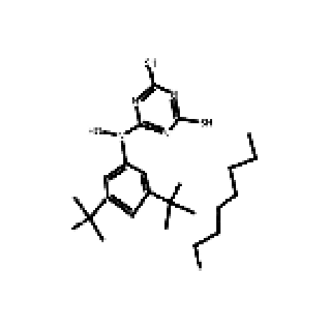 CC(C)(C)c1cc(N(O)c2nc(S)nc(S)n2)cc(C(C)(C)C)c1.CCCCCCCC